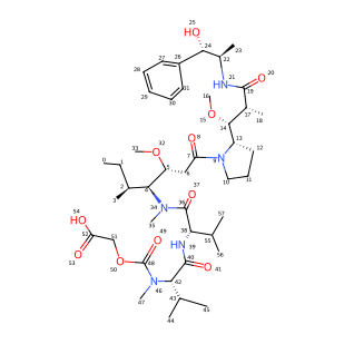 CC[C@H](C)[C@@H]([C@@H](CC(=O)N1CCC[C@H]1[C@H](OC)[C@@H](C)C(=O)N[C@H](C)[C@@H](O)c1ccccc1)OC)N(C)C(=O)[C@@H](NC(=O)[C@H](C(C)C)N(C)C(=O)OCC(=O)O)C(C)C